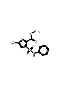 COC(=O)c1sc(C)cc1S(=O)(=O)Nc1ccccc1